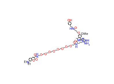 CCN(CC)c1ccc2cc(C(=O)NCCOCCOCCOCCOCCOCCOCCOCCOCCC(=O)NC(CCCNC(=N)N)C(=O)NC(C)c3cc(OCCCC(=O)NCCc4ccc(O)cc4)c(OC)cc3[N+](=O)[O-])c(=O)oc2c1